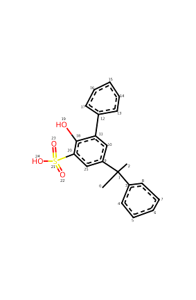 CC(C)(c1ccccc1)c1cc(-c2ccccc2)c(O)c(S(=O)(=O)O)c1